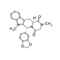 CN1CC(=O)N2[C@H](c3ccc4c(c3)OCO4)c3c(c4ccccc4n3C)C[C@H]2C1=O